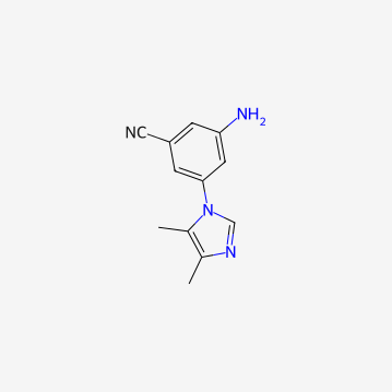 Cc1ncn(-c2cc(N)cc(C#N)c2)c1C